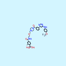 Cc1cc(C(=O)NCCOCCN2CCN(C(=O)c3cccc(-c4cc(Nc5ccc(OC(F)(F)F)cc5)ncn4)c3)CC2)ccc1B(O)O